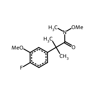 COc1cc(C(C)(C)C(=O)N(C)OC)ccc1F